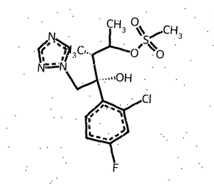 CC(OS(C)(=O)=O)[C@@H](C)[C@](O)(Cn1cncn1)c1ccc(F)cc1Cl